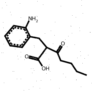 CCCCC(=O)C(Cc1ccccc1N)C(=O)O